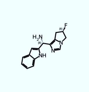 N[C@@H](c1cc2ccccc2[nH]1)c1ncn2c1C[C@@H](F)C2